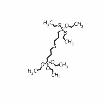 CCO[Si](CCCSCCC[Si](OCC)(OCC)OCC)(OCC)OCC